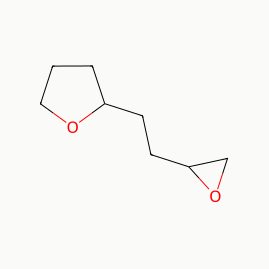 C1COC(CCC2CO2)C1